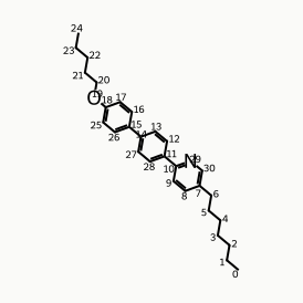 CCCCCCCc1ccc(-c2ccc(-c3ccc(OCCCCC)cc3)cc2)nc1